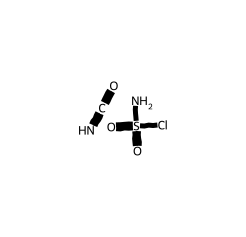 N=C=O.NS(=O)(=O)Cl